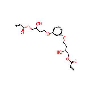 C=CC(=O)OCC(O)CCOc1cccc(OCCC(O)COC(=O)C=C)c1